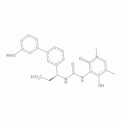 CCOC(=O)C[C@H](NC(=O)Nc1c(O)c(C)cn(C)c1=O)c1cccc(-c2cccc(OC)c2)c1